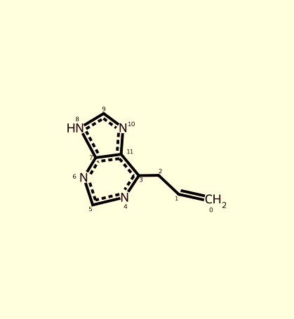 C=CCc1ncnc2[nH]cnc12